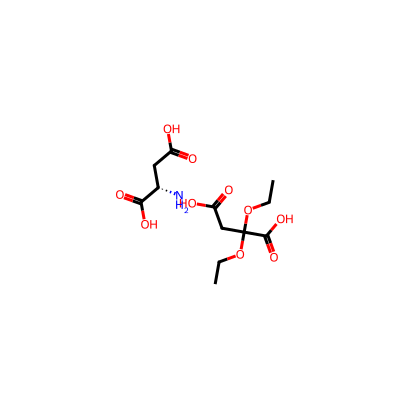 CCOC(CC(=O)O)(OCC)C(=O)O.N[C@@H](CC(=O)O)C(=O)O